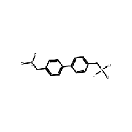 Cl[SiH](Cl)Cc1ccc(-c2ccc(C[Si](Cl)(Cl)Cl)cc2)cc1